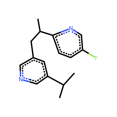 CC(C)c1cncc(CC(C)c2ccc(F)cn2)c1